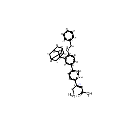 CC/C(=C\C(=O)O)c1ccc(-c2ccc(OCc3ccccc3)c(C34CC5CC(CC(C5)C3)C4)c2)nn1